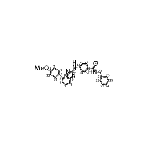 COc1ccc(-c2cccc3nc(Nc4ccc(C(=O)NCc5ccccc5)cc4)nn23)cc1